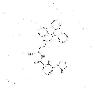 CC(C)C[C@H](NC(=O)[C@@H]1CCCN1)C(=O)N[C@@H](CCC(=O)NC(c1ccccc1)(c1ccccc1)c1ccccc1)C(=O)O